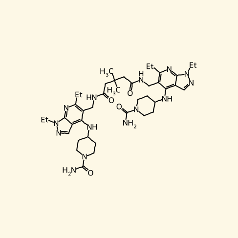 CCc1nc2c(cnn2CC)c(NC2CCN(C(N)=O)CC2)c1CNC(=O)CC(C)(C)CC(=O)NCc1c(CC)nc2c(cnn2CC)c1NC1CCN(C(N)=O)CC1